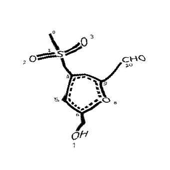 CS(=O)(=O)c1cc(O)oc1C=O